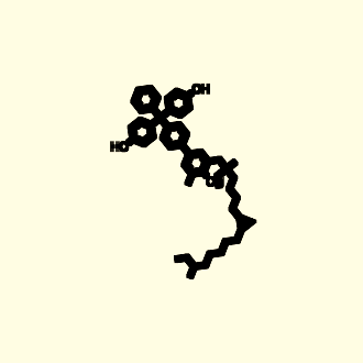 CCC(C)CCCCCC1CC1CCCCC(C)(CC)Cc1cc(-c2ccc(C(c3ccccc3)(c3ccc(O)cc3)c3ccc(O)cc3)cc2)cc(C)c1O